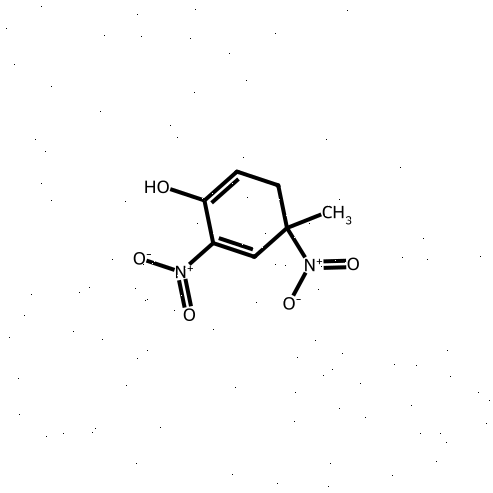 CC1([N+](=O)[O-])C=C([N+](=O)[O-])C(O)=CC1